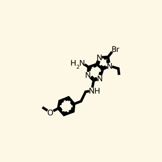 CCn1c(Br)nc2c(N)nc(NCCc3ccc(OC)cc3)nc21